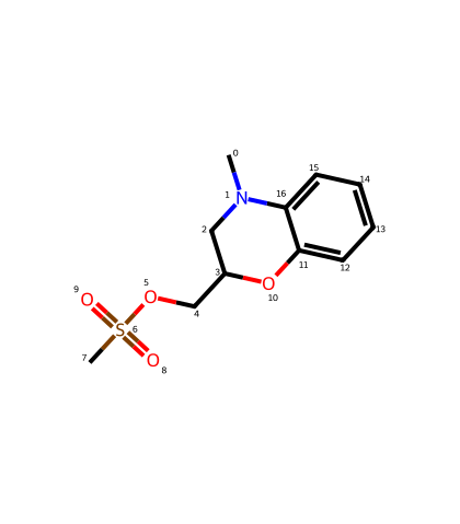 CN1CC(COS(C)(=O)=O)Oc2ccccc21